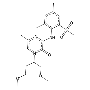 COCCC(COC)n1cc(C)nc(Nc2c(C)cc(C)cc2S(C)(=O)=O)c1=O